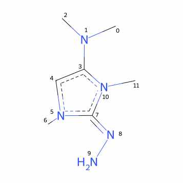 CN(C)c1cn(C)c(=NN)n1C